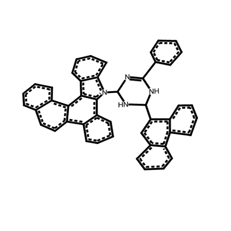 c1ccc(C2=NC(n3c4ccccc4c4c5c6ccccc6ccc5c5ccccc5c43)NC(c3cc4ccccc4c4ccccc34)N2)cc1